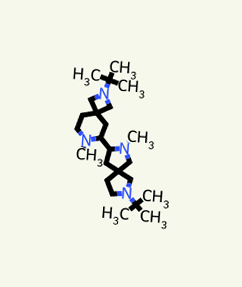 CN1CCC2(CC1C1CC3(CCN(C(C)(C)C)C3)CN1C)CN(C(C)(C)C)C2